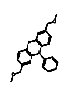 COCc1ccc2c(c1)Sc1ccc(COC)cc1N2c1ccccc1